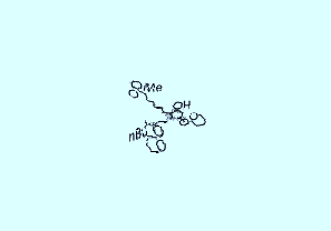 CCCCC(C)[C@@H](C=C[C@@H]1[C@@H](CC=CCCCC(=O)OC)[C@H](O)C[C@H]1OC1CCCCO1)OC1CCCCO1